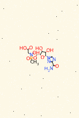 CP(=O)(OC[C@H]1O[C@@H](n2cnc(C(N)=O)n2)[C@H](O)[C@@H]1O)N(O)CC(=O)O